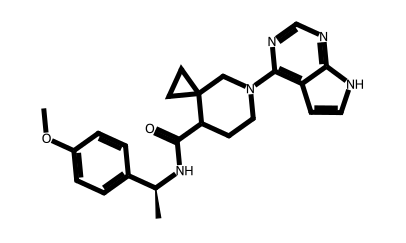 COc1ccc([C@H](C)NC(=O)C2CCN(c3ncnc4[nH]ccc34)CC23CC3)cc1